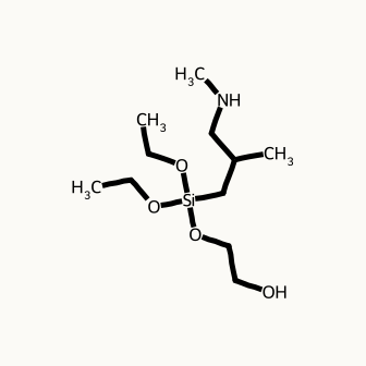 CCO[Si](CC(C)CNC)(OCC)OCCO